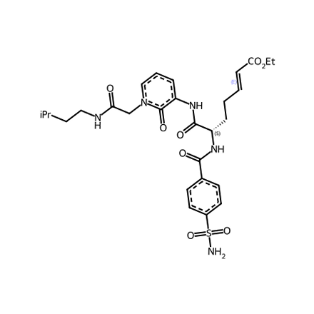 CCOC(=O)/C=C/CC[C@H](NC(=O)c1ccc(S(N)(=O)=O)cc1)C(=O)Nc1cccn(CC(=O)NCCC(C)C)c1=O